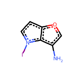 Nc1coc2ccn(I)c12